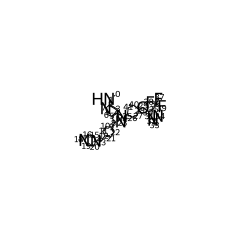 CNc1cc2c(cn1)c(-c1ccc(CN3CCN(C)CC3)cc1)nn2C1CCC(Oc2cn(C)nc2C(F)(F)F)CC1